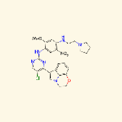 COc1cc(NCCN2CCCC2)c([N+](=O)[O-])cc1Nc1ncc(Cl)c(-c2cn3c4c(cccc24)OCC3)n1